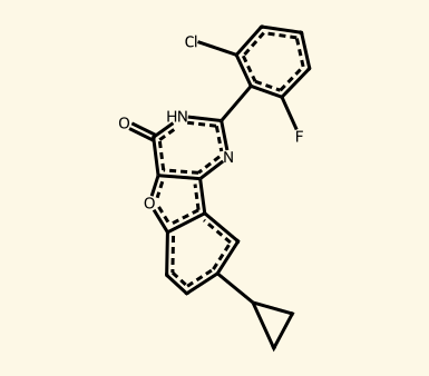 O=c1[nH]c(-c2c(F)cccc2Cl)nc2c1oc1ccc(C3CC3)cc12